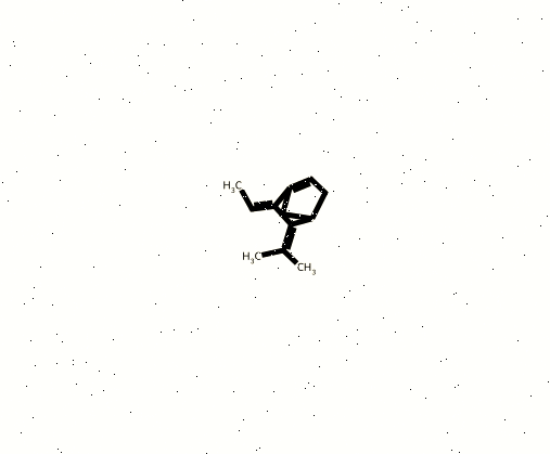 CC=C1C2=CCC(C2)C1=C(C)C